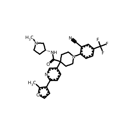 Cc1occc1-c1ccc(C2(C(=O)N[C@@H]3CCN(C)C3)CCN(c3ccc(C(F)(F)F)cc3C#N)CC2)cn1